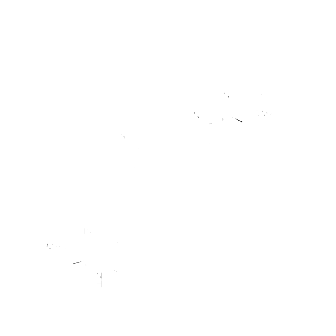 CSC[C@H](NC(=O)Cc1ccccc1)C(=O)Nc1ccc(-c2cnc(-c3ccc(NC(=O)[C@H](CSC)NC(=O)Cc4ccccc4)cc3)o2)cc1